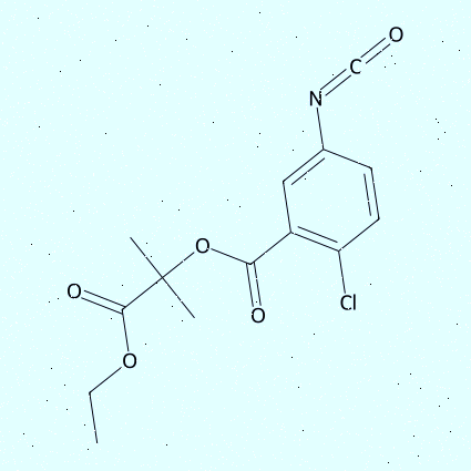 CCOC(=O)C(C)(C)OC(=O)c1cc(N=C=O)ccc1Cl